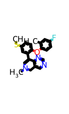 CSc1ccc(Oc2ccc(F)cc2C)c(C2=CN(C)Cc3cncnc32)c1